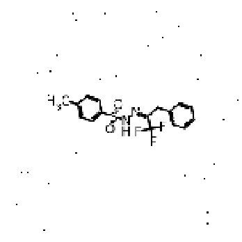 Cc1ccc(S(=O)(=O)NN=C(Cc2ccccc2)C(F)(F)F)cc1